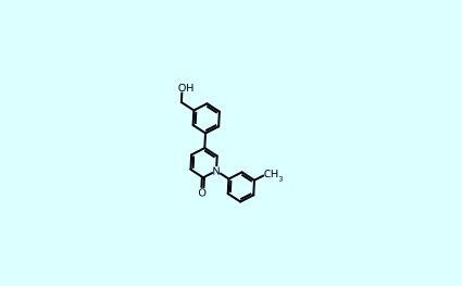 Cc1cccc(-n2cc(-c3cccc(CO)c3)ccc2=O)c1